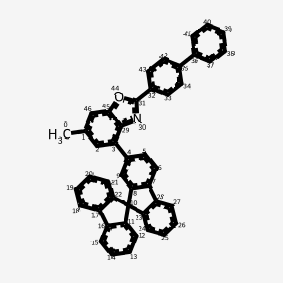 Cc1cc(-c2ccc3c(c2)C2(c4ccccc4-c4ccccc42)c2ccccc2-3)c2nc(-c3ccc(-c4ccccc4)cc3)oc2c1